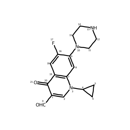 O=Cc1cn(C2CC2)c2cc(N3CCNCC3)c(F)cc2c1=O